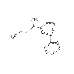 CCCC(C)c1cccc(-c2ccccn2)n1